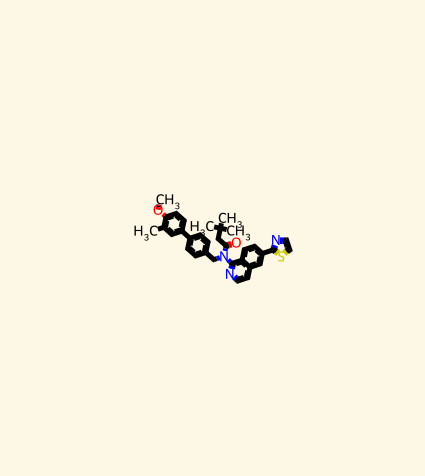 COc1ccc(-c2ccc(CN(C(=O)CC(C)(C)C)c3nccc4cc(-c5nccs5)ccc34)cc2)cc1C